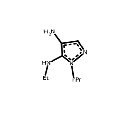 CCCn1ncc(N)c1NCC